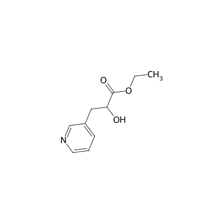 CCOC(=O)C(O)Cc1cccnc1